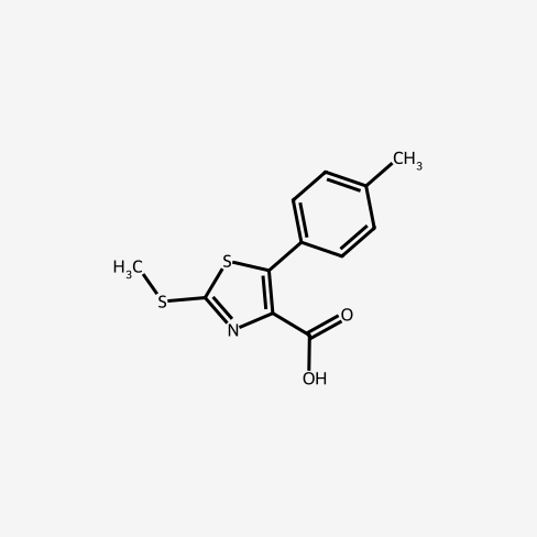 CSc1nc(C(=O)O)c(-c2ccc(C)cc2)s1